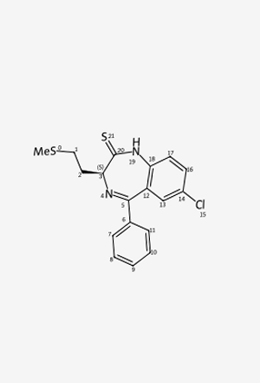 CSCC[C@@H]1N=C(c2ccccc2)c2cc(Cl)ccc2NC1=S